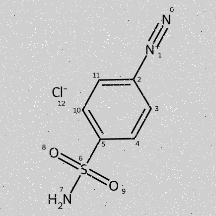 N#[N+]c1ccc(S(N)(=O)=O)cc1.[Cl-]